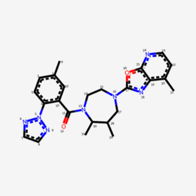 Cc1ccc(-n2nccn2)c(C(=O)N2CCN(c3nc4c(C)ccnc4o3)CC(C)C2C)c1